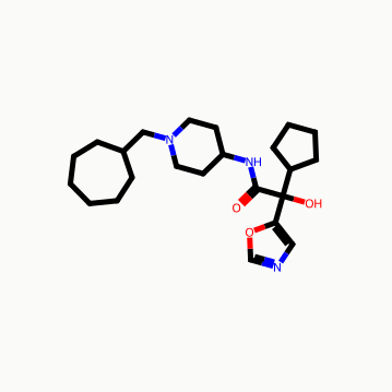 O=C(NC1CCN(CC2CCCCCC2)CC1)C(O)(c1cnco1)C1CCCC1